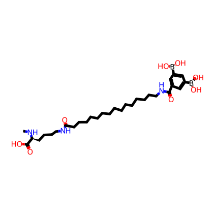 CN[C@@H](CCCCNC(=O)CCCCCCCCCCCCCCCNC(=O)c1cc(B(O)O)cc(B(O)O)c1)C(=O)O